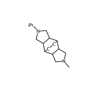 CC(C)N1CC2C3CCC(C4CN(C)CC34)C2C1